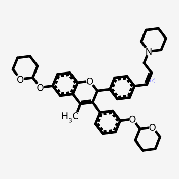 CC1=C(c2cccc(OC3CCCCO3)c2)C(c2ccc(/C=C\CN3CCCCC3)cc2)Oc2ccc(OC3CCCCO3)cc21